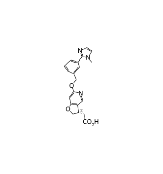 Cn1ccnc1-c1cccc(COc2cc3c(cn2)[C@H](CC(=O)O)CO3)c1